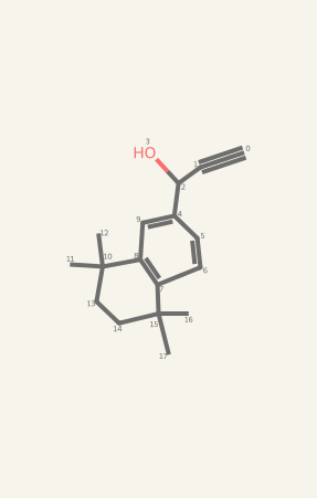 C#CC(O)c1ccc2c(c1)C(C)(C)CCC2(C)C